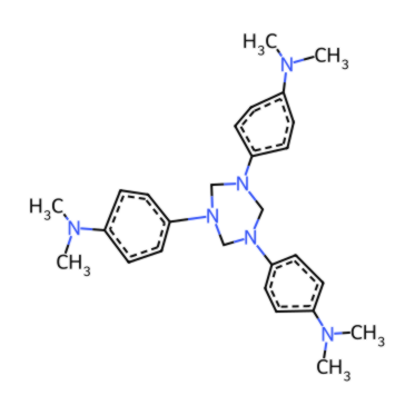 CN(C)c1ccc(N2CN(c3ccc(N(C)C)cc3)CN(c3ccc(N(C)C)cc3)C2)cc1